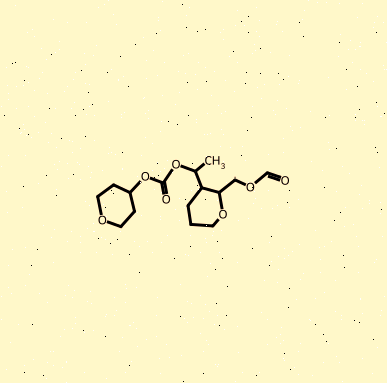 CC(OC(=O)OC1CCOCC1)C1CCCOC1[CH]OC=O